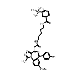 COc1ccc2c(c1)C(c1ccc(Cl)cc1)=N[C@@H](CC(=O)NCCCCCNC(=O)c1cccc([Si](C)(C)O)c1)c1nnc(C)n1-2